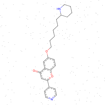 O=c1cc(-c2ccncc2)oc2ccc(OCCCCCCC3CCCCN3)cc12